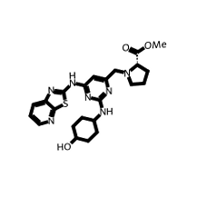 COC(=O)[C@@H]1CCCN1Cc1cc(Nc2nc3cccnc3s2)nc(NC2CCC(O)CC2)n1